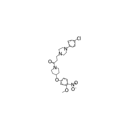 COc1cc(OC2CCN(C(=O)CCN3CCN(c4ccc(Cl)cc4)CC3)CC2)ccc1[N+](=O)[O-]